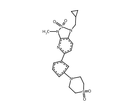 CN1c2nc(-c3cccc(N4CCS(=O)(=O)CC4)c3)ccc2N(CC2CC2)S1(=O)=O